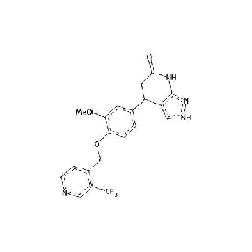 COc1cc(C2CC(=O)Nc3n[nH]cc32)ccc1OCc1ccncc1C(F)(F)F